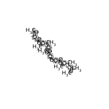 COc1ccc(C(C)c2ccc(OC(=O)c3ccc(Oc4ccc(C(=O)Oc5ccc(C(C)c6ccc(OC(=O)Cc7ccc(CC(C)=O)cc7)c(C)c6)cc5C)cc4)cc3)c(C)c2)cc1C